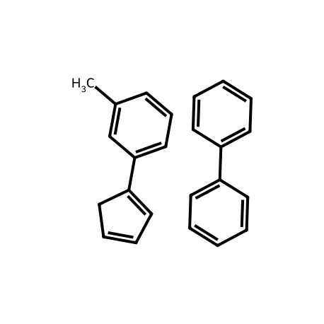 Cc1cccc(C2=CC=CC2)c1.c1ccc(-c2ccccc2)cc1